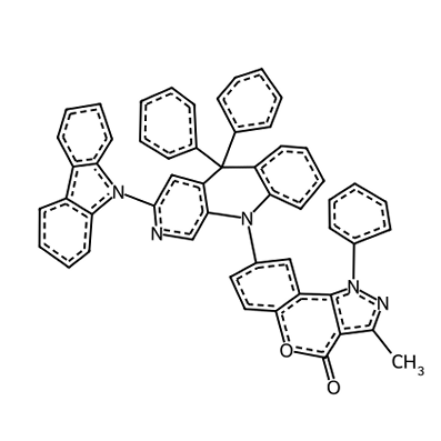 Cc1nn(-c2ccccc2)c2c1c(=O)oc1ccc(N3c4ccccc4C(c4ccccc4)(c4ccccc4)c4cc(-n5c6ccccc6c6ccccc65)ncc43)cc12